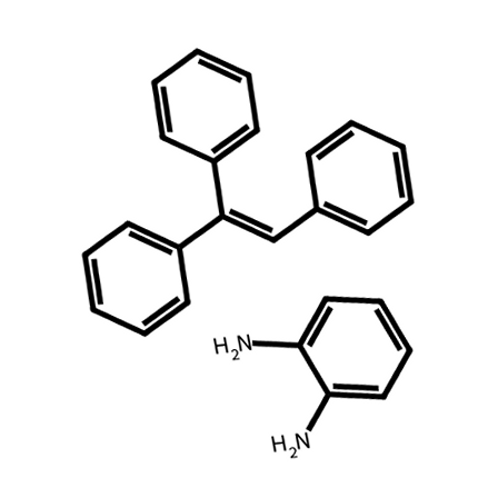 C(=C(c1ccccc1)c1ccccc1)c1ccccc1.Nc1ccccc1N